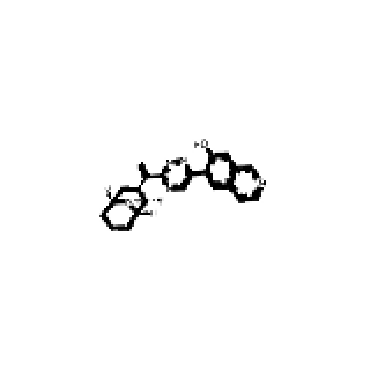 C=C(c1ncc(-c2cc3ccncc3cc2O)nn1)[C@@H]1C[C@H]2CCC[C@H](N2)[C@H]1F